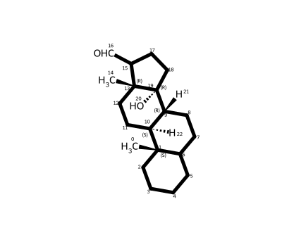 C[C@]12CCCCC1CC[C@@H]1[C@@H]2CC[C@]2(C)C(C=O)CC[C@@]12O